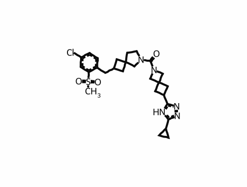 CS(=O)(=O)c1cc(Cl)ccc1CC1CC2(CCN(C(=O)N3CC4(CC(c5nnc(C6CC6)[nH]5)C4)C3)C2)C1